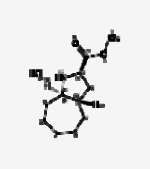 CC(C)(C)OC(=O)[C@H]1C[C@@H]2CCCCC[C@H]2N1.Cl